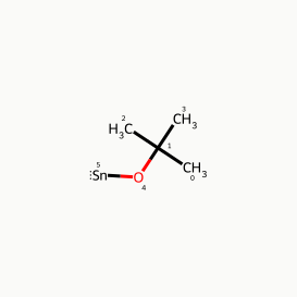 CC(C)(C)[O][Sn]